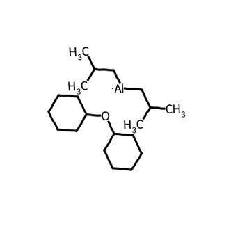 C1CCC(OC2CCCCC2)CC1.CC(C)[CH2][Al][CH2]C(C)C